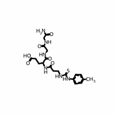 Cc1ccc(NC(=S)NCCC(=O)NC(CCC(=O)O)C(=O)NCC(=O)NCC(N)=O)cc1